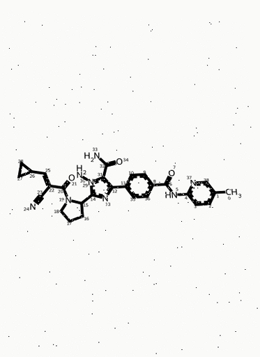 Cc1ccc(NC(=O)c2ccc(-c3nc(C4CCCN4C(=O)C(C#N)=CC4CC4)n(N)c3C(N)=O)cc2)nc1